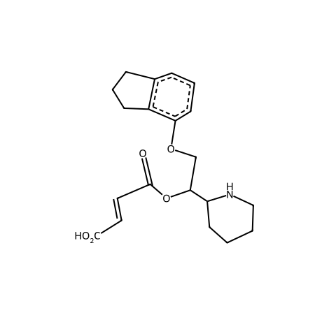 O=C(O)/C=C/C(=O)OC(COc1cccc2c1CCC2)C1CCCCN1